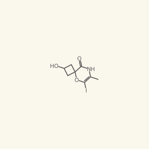 CC1=C(I)OC2(CC(O)C2)C(=O)N1